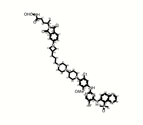 CCc1cc(Nc2ncc(Br)c(Nc3ccc4nccnc4c3P(C)(C)=O)n2)c(OC)cc1N1CCC(N2CCN(CCCC3CN(c4ccc5c(c4)C(=O)N(C(C)CCC(=O)NC=O)C5=O)C3)CC2)CC1